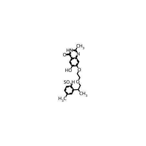 Cc1ccc(S(=O)(=O)O)c(C(C)COCCOc2cc3nc(C)[nH]c(=O)c3cc2O)c1